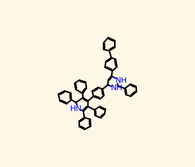 C1=C(c2ccc(-c3ccccc3)cc2)NC(c2ccccc2)NC1c1ccc(C2=C(c3ccccc3)C(c3ccccc3)NC(c3ccccc3)=C2c2ccccc2)cc1